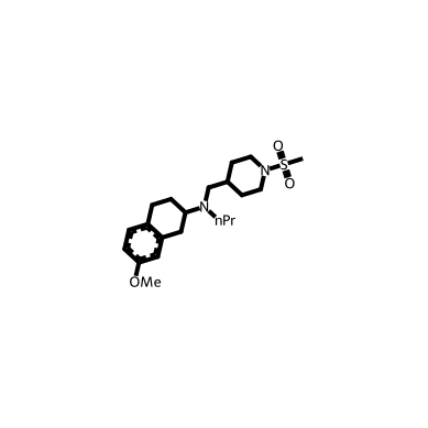 CCCN(CC1CCN(S(C)(=O)=O)CC1)C1CCc2ccc(OC)cc2C1